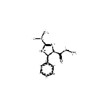 COC(=O)C1N=C([S+](C)[O-])NC1c1ccccc1